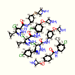 O=C(Nc1ccc(Cl)c(C(F)(F)F)c1)c1ccc(OC2CNC2)cc1.O=C(Nc1ccc(OC2CNC2)cc1)c1[nH]nc(-c2ccc(Cl)cc2)c1Cl.O=C(Nc1ccc(OC2CNC2)cc1F)c1[nH]nc(C2CC2)c1Cl.O=C(Nc1ccc(SC2CNC2)cc1)c1[nH]nc(C2CC2)c1Cl